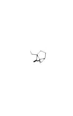 CC1(C)C2CCC1(CS(=O)(=O)O)C(=O)C2.[Ag]